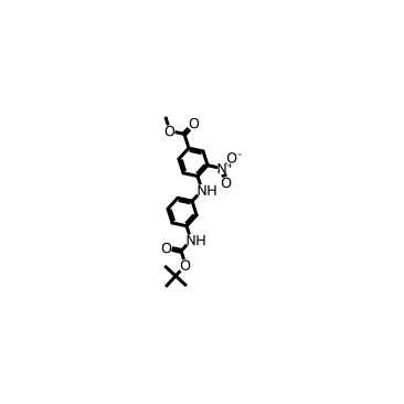 COC(=O)c1ccc(Nc2cccc(NC(=O)OC(C)(C)C)c2)c([N+](=O)[O-])c1